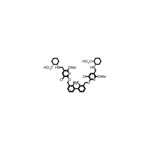 COc1nc(OCc2cccc(-c3cccc(COc4nc(OC)c(CN[C@@H]5CCCC[C@@H]5C(=O)O)cc4Cl)c3C)c2C)c(Cl)cc1CN[C@H]1CCCC[C@H]1C(=O)O